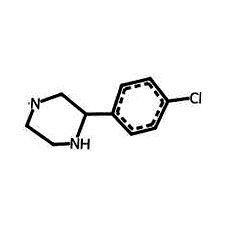 Clc1ccc(C2C[N]CCN2)cc1